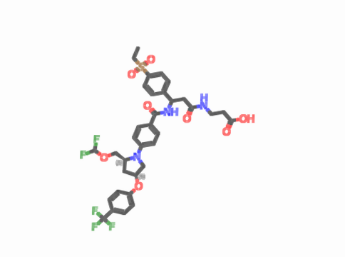 CCS(=O)(=O)c1ccc(C(CC(=O)NCCC(=O)O)NC(=O)c2ccc(N3C[C@@H](Oc4ccc(C(F)(F)F)cc4)C[C@H]3COC(F)F)cc2)cc1